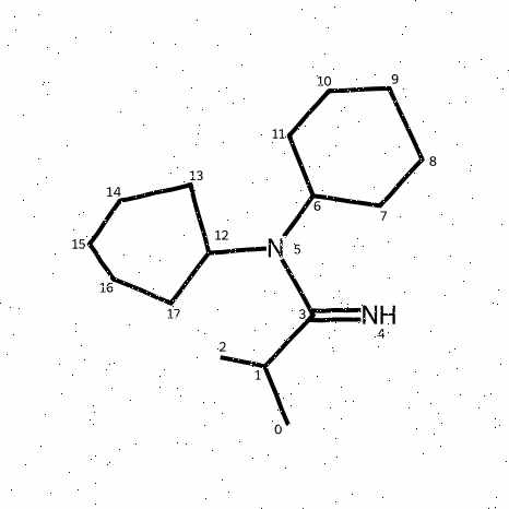 CC(C)C(=N)N(C1CCCCC1)C1CCCCC1